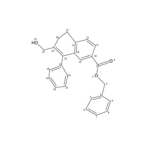 O=C(OCc1ccccc1)c1ccc2c(c1)C(c1ccccc1)=C(CO)CC2